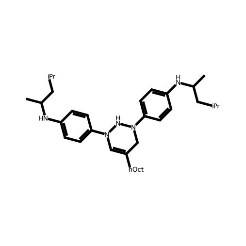 CCCCCCCCC1=CN(c2ccc(NC(C)CC(C)C)cc2)NN(c2ccc(NC(C)CC(C)C)cc2)C1